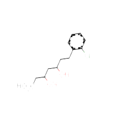 O=C(O)CC(O)CC(O)CCc1ccccc1Cl